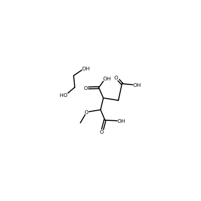 COC(C(=O)O)C(CC(=O)O)C(=O)O.OCCO